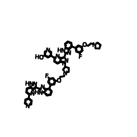 Oc1cncc(-c2ccc3c(n2)c(-c2nc4c(-c5cc(F)cc(OCCN6CCCC6)c5)cccc4[nH]2)nn3C2CCN(CCOc3cc(F)cc(-c4cccc5[nH]c(-c6n[nH]c7ccc(-c8ccncc8)nc67)nc45)c3)C2)c1